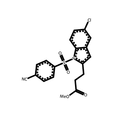 COC(=O)CCc1cc2cc(Cl)ccc2n1S(=O)(=O)c1ccc(C#N)cc1